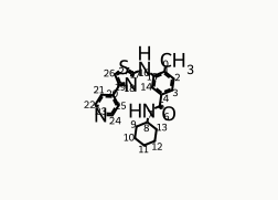 Cc1ccc(C(=O)NC2CCCCC2)cc1Nc1nc(-c2ccncc2)cs1